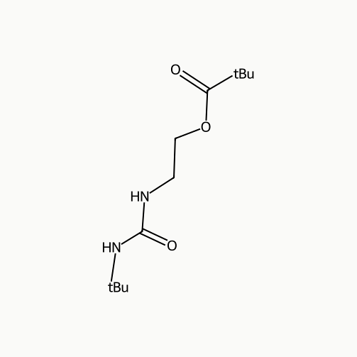 CC(C)(C)NC(=O)NCCOC(=O)C(C)(C)C